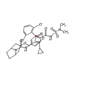 CN(C)S(=O)(=O)NC(=O)c1ccc(NC(=O)N2C3CCC2CC(OCc2c(-c4c(Cl)cccc4Cl)noc2C2CC2)C3)cc1